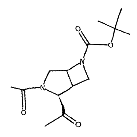 CC(=O)[C@@H]1C2CN(C(=O)OC(C)(C)C)C2CN1C(C)=O